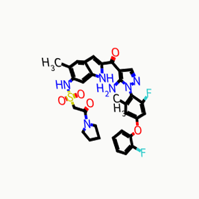 Cc1cc2cc(C(=O)c3cnn(-c4c(C)cc(Oc5ccccc5F)cc4F)c3N)[nH]c2cc1NS(=O)(=O)CC(=O)N1CCCC1